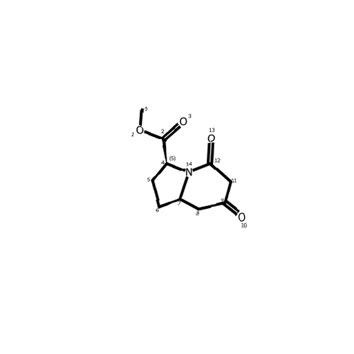 COC(=O)[C@@H]1CCC2CC(=O)CC(=O)N21